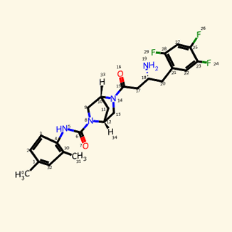 Cc1ccc(NC(=O)N2C[C@H]3C[C@@H]2CN3C(=O)C[C@H](N)Cc2cc(F)c(F)cc2F)c(C)c1